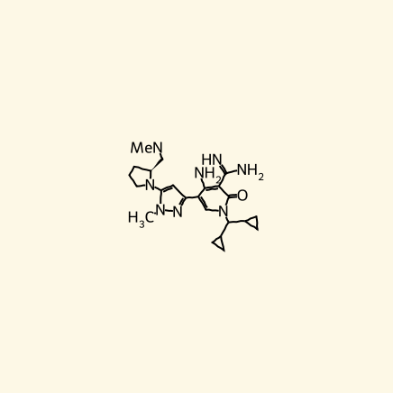 CNC[C@@H]1CCCN1c1cc(-c2cn(C(C3CC3)C3CC3)c(=O)c(C(=N)N)c2N)nn1C